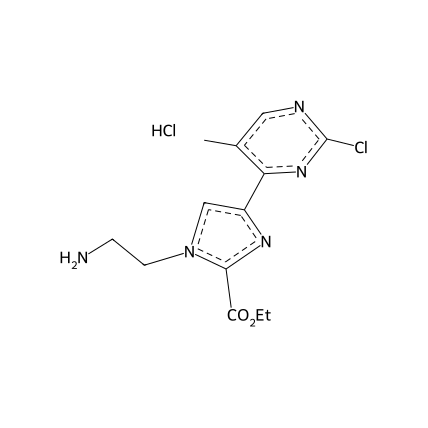 CCOC(=O)c1nc(-c2nc(Cl)ncc2C)cn1CCN.Cl